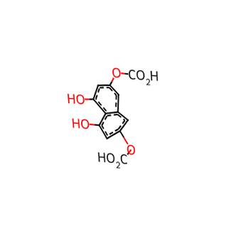 O=C(O)Oc1cc(O)c2c(O)cc(OC(=O)O)cc2c1